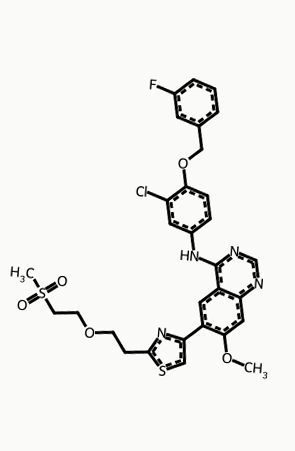 COc1cc2ncnc(Nc3ccc(OCc4cccc(F)c4)c(Cl)c3)c2cc1-c1csc(CCOCCS(C)(=O)=O)n1